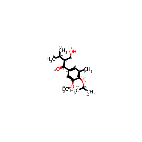 COc1cc(C(=O)C(CO)C(C)C)cc(C)c1OC(C)C